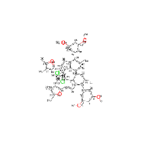 COc1cc(OC)cc(-c2c(C)ccc3c2C=C(c2cc(C)c(C)o2)[CH]3[Zr]([Cl])([Cl])([CH]2C(c3cc(C)c(C)o3)=Cc3c2ccc(C)c3-c2cc(OC)cc(OC)c2)=[Si](C)C)c1